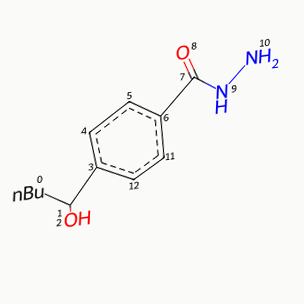 CCCCC(O)c1ccc(C(=O)NN)cc1